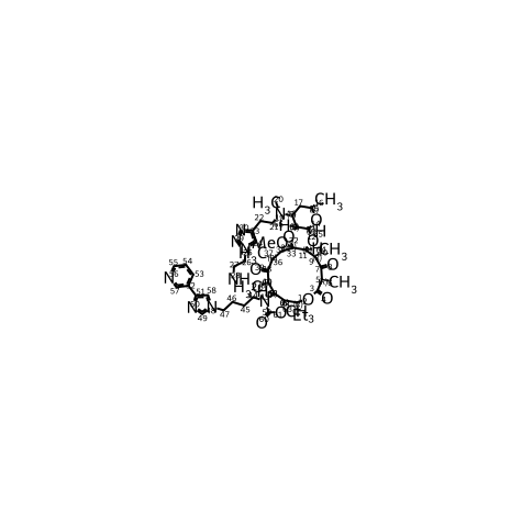 CC[C@H]1OC(=O)[C@H](C)C(=O)[C@H](C)[C@H]2O[C@@H]3O[C@H](C)C[C@H](N(C)CCc4cn(CCN)nn4)[C@H]3O[C@@]2(OC)C[C@@H](C)C(=O)[C@H](C)[C@H]2N(CCCCn3cnc(-c4cccnc4)c3)C(=O)O[C@]12C